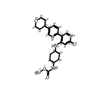 CC(C)(C)OC(=O)NC1CCC(Nc2cc(Cl)ncc2-c2ccc(C3CCOCC3)cn2)CC1